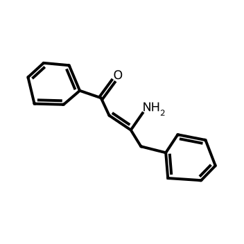 N/C(=C\C(=O)c1ccccc1)Cc1ccccc1